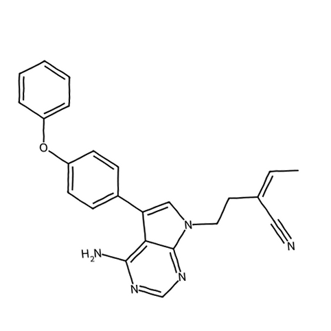 CC=C(C#N)CCn1cc(-c2ccc(Oc3ccccc3)cc2)c2c(N)ncnc21